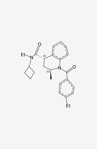 CCc1ccc(C(=O)N2c3ccccc3[C@@H](C(=O)N(CC)C3CCC3)C[C@@H]2C)cc1